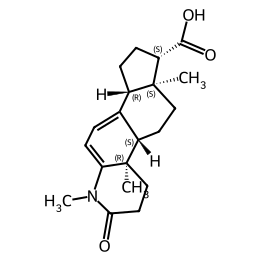 CN1C(=O)CC[C@@]2(C)C1=CC=C1[C@@H]3CC[C@H](C(=O)O)[C@@]3(C)CC[C@@H]12